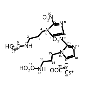 O=C(O)NCCCn1ccnc1[N+](=O)[O-].O=C(O)NCCCn1ccnc1[N+](=O)[O-].O=C([O-])[O-].[Cs+].[Cs+]